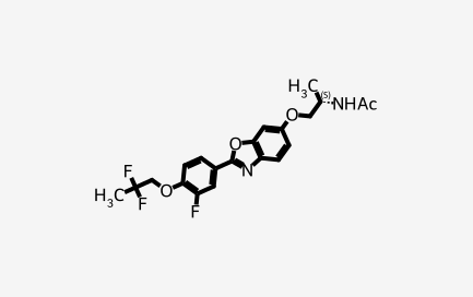 CC(=O)N[C@@H](C)COc1ccc2nc(-c3ccc(OCC(C)(F)F)c(F)c3)oc2c1